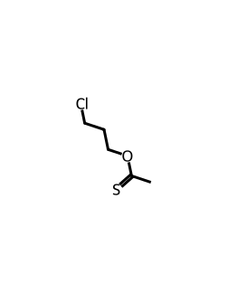 CC(=S)OCCCCl